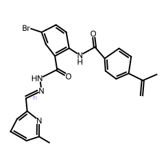 C=C(C)c1ccc(C(=O)Nc2ccc(Br)cc2C(=O)N/N=C/c2cccc(C)n2)cc1